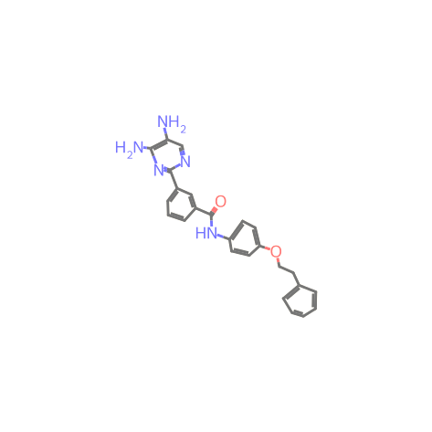 Nc1cnc(-c2cccc(C(=O)Nc3ccc(OCCc4ccccc4)cc3)c2)nc1N